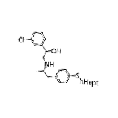 CCCCCCCSc1ccc(CC(C)NCC(O)c2cccc(Cl)c2)cc1